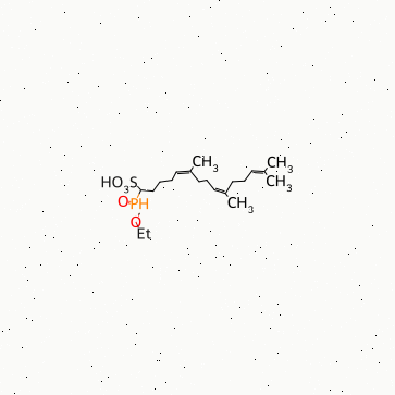 CCOC[PH](=O)C(CCCC=C(C)CCC=C(C)CCC=C(C)C)S(=O)(=O)O